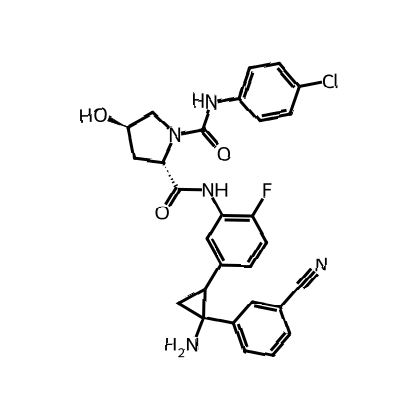 N#Cc1cccc(C2(N)CC2c2ccc(F)c(NC(=O)[C@@H]3C[C@@H](O)CN3C(=O)Nc3ccc(Cl)cc3)c2)c1